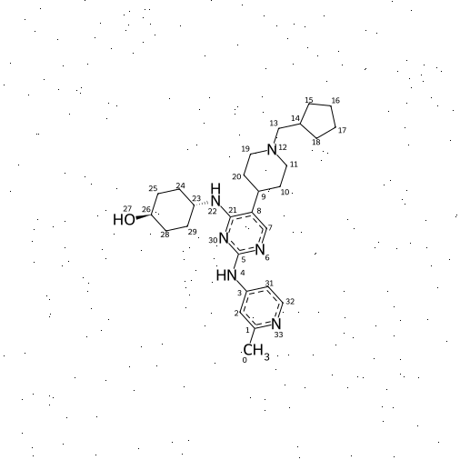 Cc1cc(Nc2ncc(C3CCN(CC4CCCC4)CC3)c(N[C@H]3CC[C@H](O)CC3)n2)ccn1